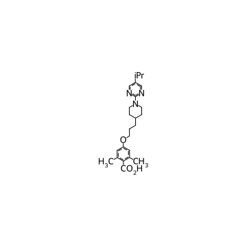 Cc1cc(OCCCC2CCN(c3ncc(C(C)C)cn3)CC2)cc(C)c1C(=O)O